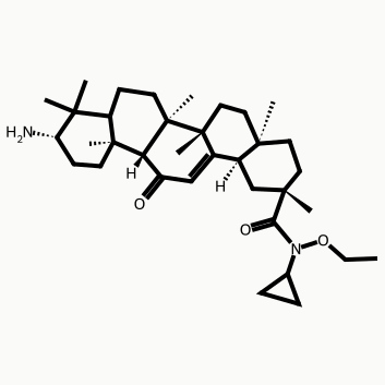 CCON(C(=O)[C@@]1(C)CC[C@]2(C)CC[C@]3(C)C(=CC(=O)[C@@H]4[C@@]5(C)CC[C@H](N)C(C)(C)C5CC[C@]43C)[C@@H]2C1)C1CC1